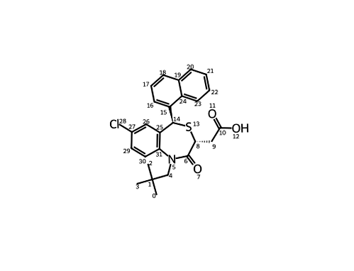 CC(C)(C)CN1C(=O)[C@@H](CC(=O)O)S[C@H](c2cccc3ccccc23)c2cc(Cl)ccc21